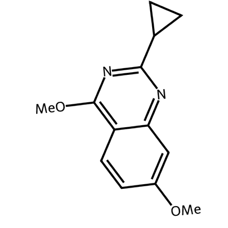 COc1ccc2c(OC)nc(C3CC3)nc2c1